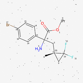 CC(C)OC(=O)C(N)(C[C@@]1(C)CC1(F)F)c1ccc(Br)cc1